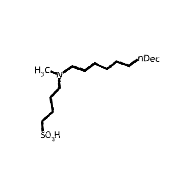 CCCCCCCCCCCCCCCCN(C)CCCCS(=O)(=O)O